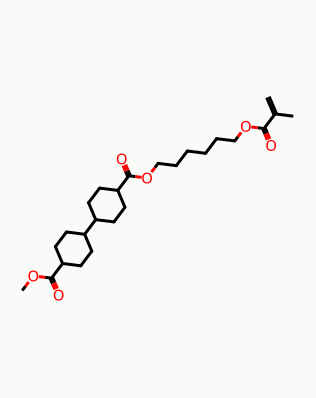 C=C(C)C(=O)OCCCCCCOC(=O)C1CCC(C2CCC(C(=O)OC)CC2)CC1